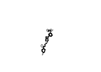 O=C(CCCN1CC2CC(c3cccc([N+](=O)[O-])c3)C2C1)c1ccc(F)cc1